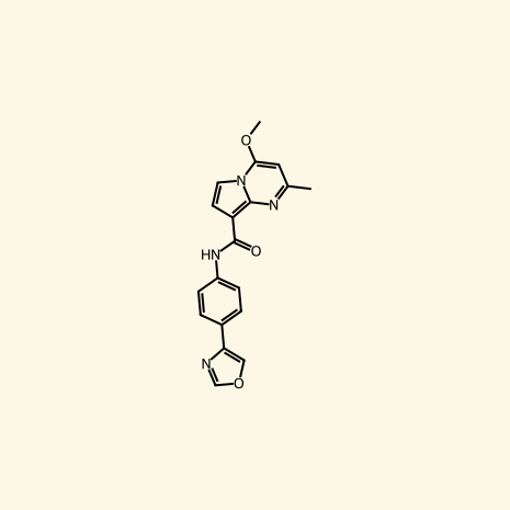 COc1cc(C)nc2c(C(=O)Nc3ccc(-c4cocn4)cc3)ccn12